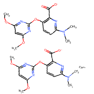 COc1cc(OC)nc(Oc2ccc(N(C)C)nc2C(=O)[O-])n1.COc1cc(OC)nc(Oc2ccc(N(C)C)nc2C(=O)[O-])n1.[Ca+2]